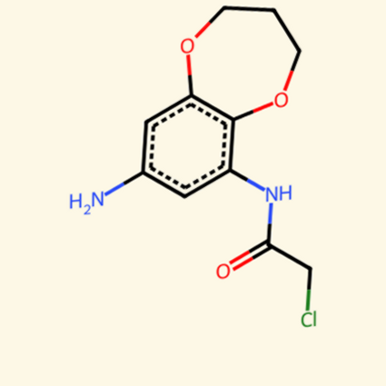 Nc1cc(NC(=O)CCl)c2c(c1)OCCCO2